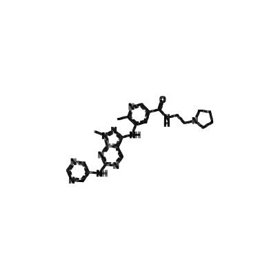 Cc1ncc(C(=O)NCCN2CCCC2)cc1Nc1nn(C)c2nc(Nc3cncnc3)ncc12